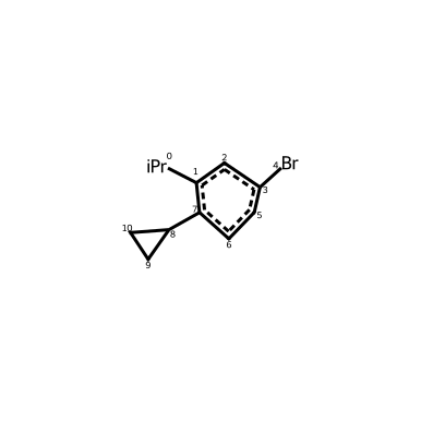 [CH2]C(C)c1cc(Br)ccc1C1CC1